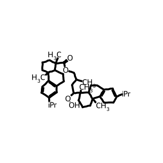 CC(COC(=O)C1(C)CCCC2(C)c3ccc(C(C)C)cc3CCC12)CC(OO)C1(C)CCCC2(C)C3=C(C=C(C(C)C)CC3)CCC21